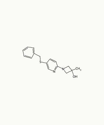 CC1(O)CN(c2ccc(SCc3ccccc3)cn2)C1